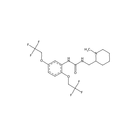 CN1CCCCC1CNC(=O)Nc1cc(OCC(F)(F)F)ccc1OCC(F)(F)F